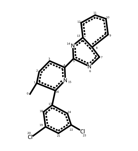 Cc1ccc(-c2ncc3ccccc3n2)nc1-c1cc(Cl)cc(Cl)c1